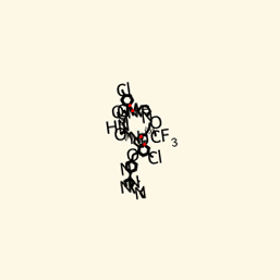 COC[C@@H]1NC(=O)[C@@H](C)N(Cc2c(F)cc(Cl)cc2Oc2ccc(-c3cnc(CN(C)C)n3C)nc2)C(=O)C[C@@H](CC(F)(F)F)C(=O)N2CCC[C@@](Cc3ccc(Cl)cc3)(C2)N(C)C1=O